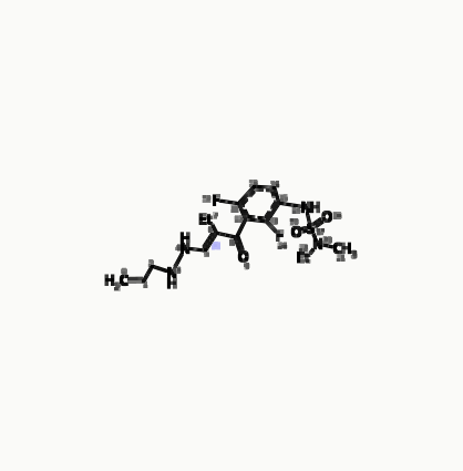 C=CCNN/C=C(\CC)C(=O)c1c(F)ccc(NS(=O)(=O)N(C)CC)c1F